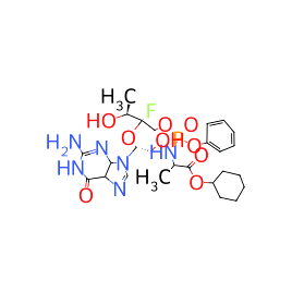 CC(NP(=O)(OC[C@@](F)(O[C@H](CO)N1C=NC2C(=O)NC(N)=NC21)[C@H](C)O)Oc1ccccc1)C(=O)OC1CCCCC1